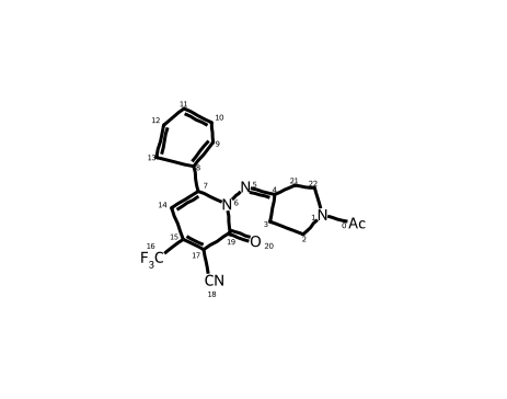 CC(=O)N1CCC(=Nn2c(-c3ccccc3)cc(C(F)(F)F)c(C#N)c2=O)CC1